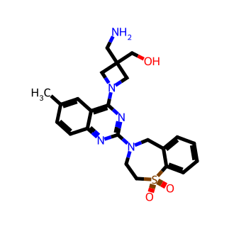 Cc1ccc2nc(N3CCS(=O)(=O)c4ccccc4C3)nc(N3CC(CN)(CO)C3)c2c1